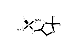 COP(=O)(OC)OC1COC(C)(C)O1